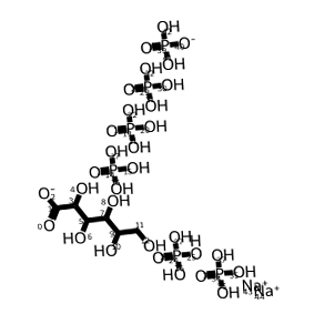 O=C([O-])C(O)C(O)C(O)C(O)CO.O=P(O)(O)O.O=P(O)(O)O.O=P(O)(O)O.O=P(O)(O)O.O=P(O)(O)O.O=P([O-])(O)O.[Na+].[Na+]